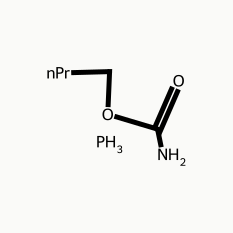 CCCCOC(N)=O.P